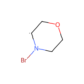 BrN1[CH]COCC1